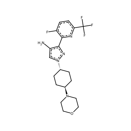 Nc1cn([C@H]2CC[C@H](N3CCOCC3)CC2)nc1-c1nc(C(F)(F)F)ccc1F